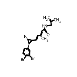 C=C(C)CNC(=O)/C=C(C)/C=C/C1[C@@H](F)[C@@H]1c1ccc(Br)c(Br)c1